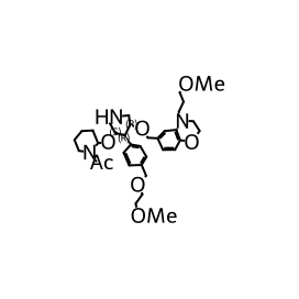 COCCCN1CCOc2ccc(CO[C@H]3CNC[C@@H](OC4CCCCN4C(C)=O)[C@@H]3c3ccc(COCCOC)cc3)cc21